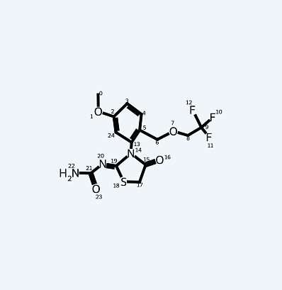 COc1ccc(COCC(F)(F)F)c(N2C(=O)CSC2=NC(N)=O)c1